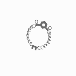 CC1CCCCCCCOC(=O)c2cccc(c2)C(=O)OCCCCCCCC1C